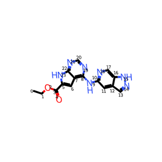 CCOC(=O)c1cc2c(Nc3cc4cn[nH]c4cn3)ncnc2[nH]1